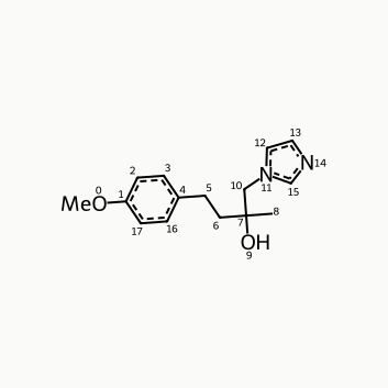 COc1ccc(CCC(C)(O)Cn2ccnc2)cc1